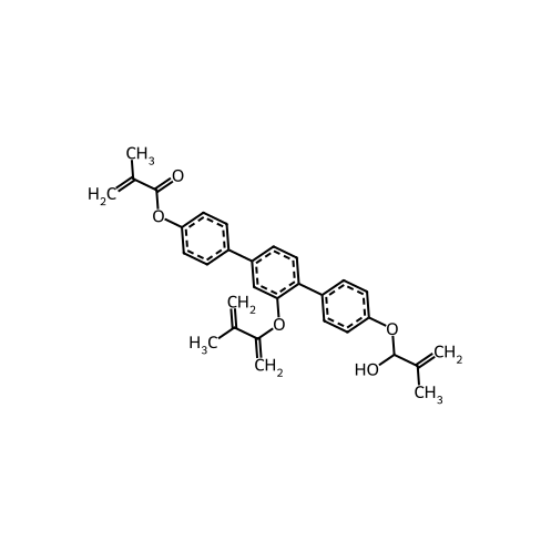 C=C(C)C(=C)Oc1cc(-c2ccc(OC(=O)C(=C)C)cc2)ccc1-c1ccc(OC(O)C(=C)C)cc1